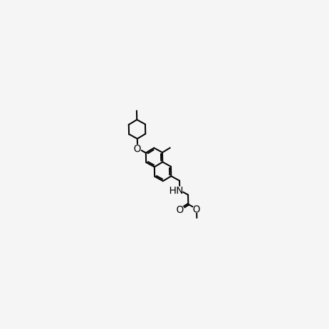 COC(=O)CNCc1ccc2cc(OC3CCC(C)CC3)cc(C)c2c1